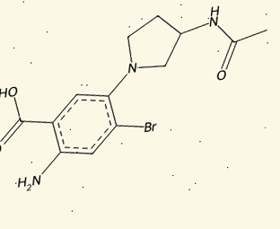 CC(=O)NC1CCN(c2cc(C(=O)O)c(N)cc2Br)C1